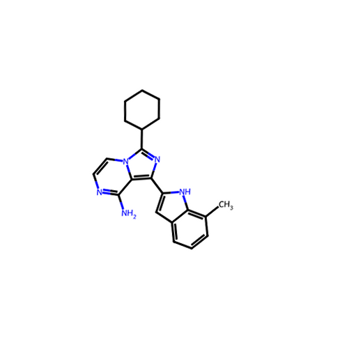 Cc1cccc2cc(-c3nc(C4CCCCC4)n4ccnc(N)c34)[nH]c12